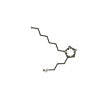 CCCCc1cnnn1CCCCCCI